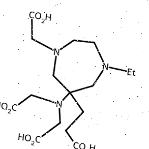 CCN1CCN(CC(=O)O)CC(CCC(=O)O)(N(CC(=O)O)CC(=O)O)C1